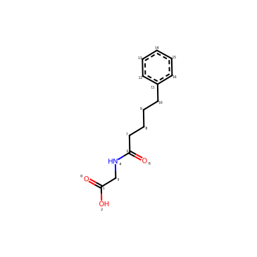 O=C(O)CNC(=O)CCCCc1ccccc1